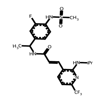 CC(C)Nc1nc(C(F)(F)F)ccc1C=CC(=O)NC(C)c1ccc(NS(C)(=O)=O)c(F)c1